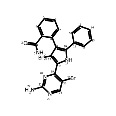 NC(=O)c1ccccc1-c1c(-c2ccccc2)[nH]c(-c2nc(N)ncc2Br)c1Br